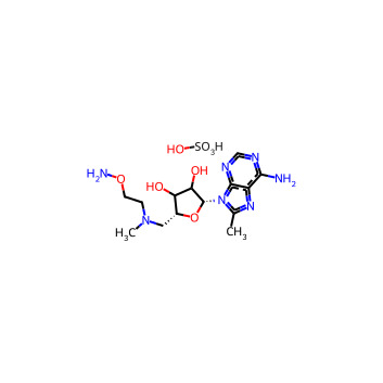 Cc1nc2c(N)ncnc2n1[C@@H]1O[C@H](CN(C)CCON)C(O)C1O.O=S(=O)(O)O